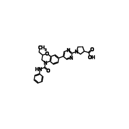 CCC1CN(C(=O)Nc2ccccc2)c2ccc(-c3cnc(N4CCC(C(=O)O)C4)nc3)cc2O1